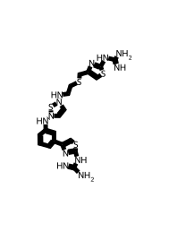 N=C(N)Nc1nc(CSCCNN2C=CN(Nc3cccc(-c4csc(NC(=N)N)n4)c3)S2)cs1